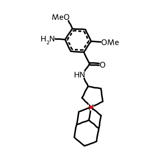 COc1cc(OC)c(C(=O)NC2CCN(C3C4CCCC3CCC4)C2)cc1N